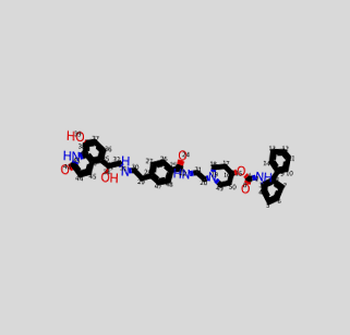 O=C(Nc1ccccc1-c1ccccc1)OC1CCN(CCNC(=O)c2ccc(CCNC[C@@H](O)c3ccc(O)c4[nH]c(=O)ccc34)cc2)CC1